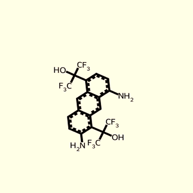 Nc1ccc2cc3c(C(O)(C(F)(F)F)C(F)(F)F)ccc(N)c3cc2c1C(O)(C(F)(F)F)C(F)(F)F